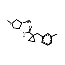 Cc1cccc(CC2(C(=O)N[C@@H]3CN(C)C[C@H]3C(C)C)CC2)c1